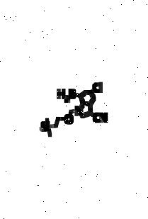 Bc1cc(Cl)cc2c(C#N)cn(COCC[Si](C)(C)C)c12